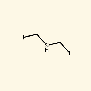 IC[SiH]CI